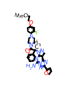 COCCOc1ccc(N2CCN(C(=O)[C@@](C)(c3ccccc3)n3ncc4c3nc(N)n3nc(-c5ccco5)nc43)CC2)c(F)c1